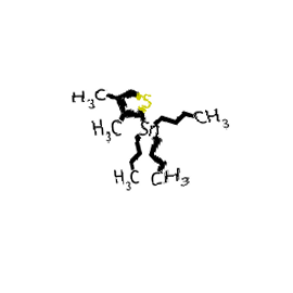 CCC[CH2][Sn]([CH2]CCC)([CH2]CCC)[c]1scc(C)c1C